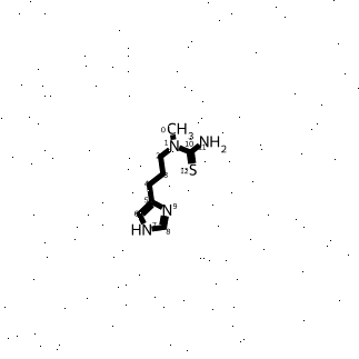 CN(CCCc1c[nH]cn1)C(N)=S